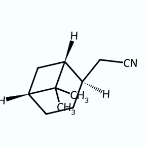 CC1(C)[C@@H]2CC[C@H](CC#N)[C@H]1C2